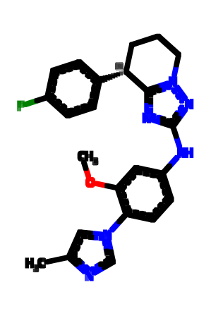 COc1cc(Nc2nc3n(n2)CCC[C@H]3c2ccc(F)cc2)ccc1-n1cnc(C)c1